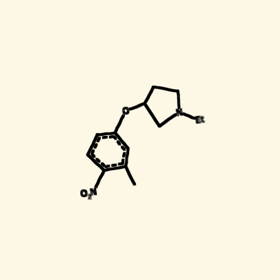 CCN1CCC(Oc2ccc([N+](=O)[O-])c(C)c2)C1